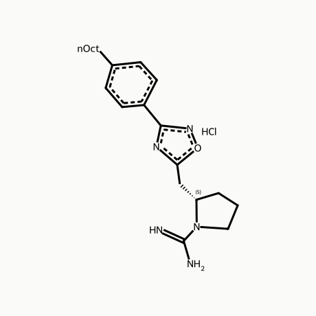 CCCCCCCCc1ccc(-c2noc(C[C@@H]3CCCN3C(=N)N)n2)cc1.Cl